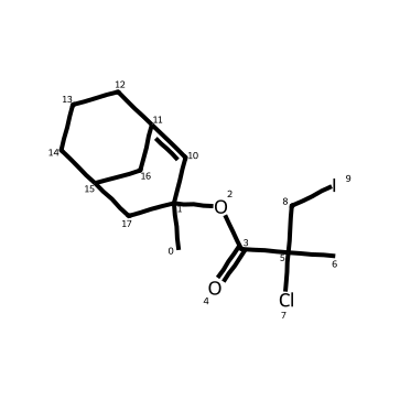 CC1(OC(=O)C(C)(Cl)CI)C=C2CCCC(C2)C1